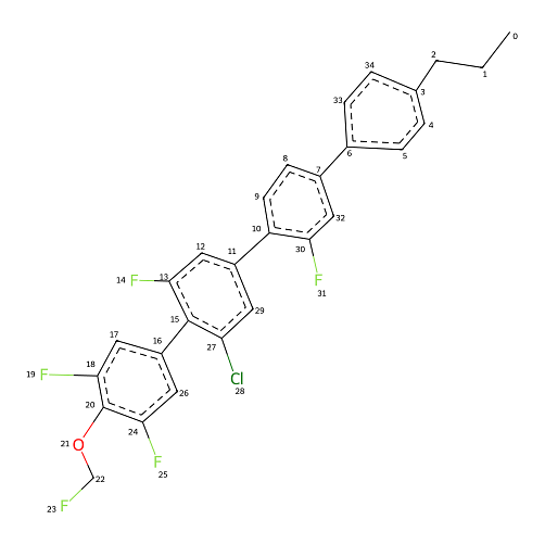 CCCc1ccc(-c2ccc(-c3cc(F)c(-c4cc(F)c(OCF)c(F)c4)c(Cl)c3)c(F)c2)cc1